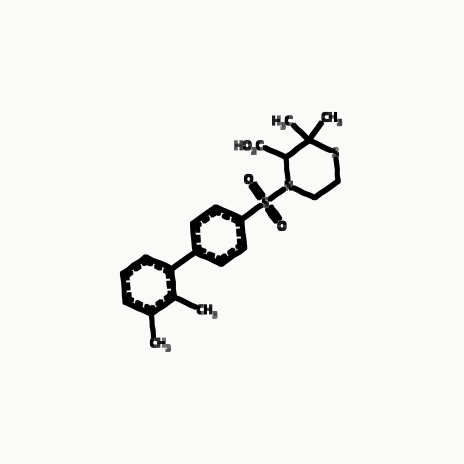 Cc1cccc(-c2ccc(S(=O)(=O)N3CCSC(C)(C)C3C(=O)O)cc2)c1C